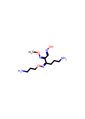 NCCCON=C(CCCN)C(C=NO)=NO[SiH3]